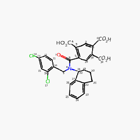 O=C(O)c1cc(C(=O)O)c(C(=O)N(Cc2ccc(Cl)cc2Cl)[C@H]2CCCc3ccccc32)cc1C(=O)O